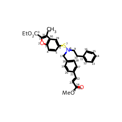 CCOC(=O)c1oc2ccc(SN(CCc3ccccc3)Cc3ccc(/C=C/C(=O)OC)cc3)cc2c1C